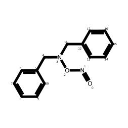 O=NON(Cc1ccccc1)Cc1ccccc1